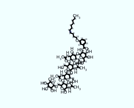 CCCCCC/C=C\CCCOc1cccc(C(=O)N[C@@H]2C(O[C@H]3C(O)C(NC(C)=O)C(OC4C(CO)O[C@@H](O[C@H]5C(O)C(NC(C)=O)C(OC6C(CO[C@@H]7OC(C)C(O)[C@H](O)[C@H]7O)OC(O)[C@@H](NC(C)=O)[C@H]6O)O[C@H]5CO)[C@@H](NC(C)=O)[C@H]4O)O[C@H]3CO)OC(CO)[C@@H](O)[C@@H]2O)c1